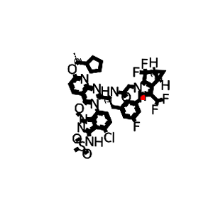 C[C@@H](Oc1ccc2c(=O)n(-c3ccc(Cl)c4c(NS(C)(=O)=O)nn(C)c34)c([C@H](Cc3cc(F)cc(F)c3)NC(=O)Cn3nc(C(F)F)c4c3C(F)(F)[C@@H]3C[C@H]43)nc2n1)C1CCCC1